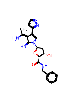 C/C(N)=C1/C(=N)N([C@H]2C[C@H](O)[C@@H](C(=O)NCc3ccccc3)O2)C=C1c1cc[nH]n1